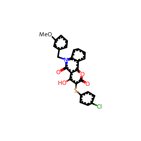 COc1cccc(Cn2c(=O)c3c(O)c(Sc4ccc(Cl)cc4)c(=O)oc3c3ccccc32)c1